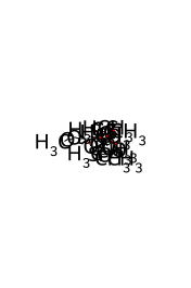 COCOc1ccc(C(=O)CC(=O)C[C@H]2CO[C@@H](C[C@@H]3O[C@H]3[C@H](C)[C@H](C)O[Si](C)(C)C)[C@@H](O[Si](C)(C)C)[C@@H]2O[Si](C)(C)C)cc1